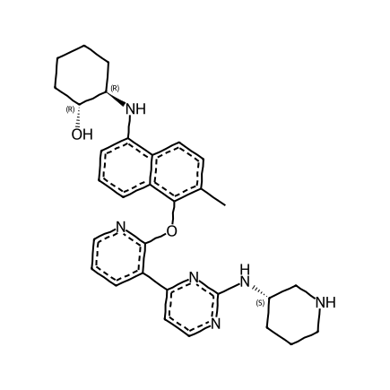 Cc1ccc2c(N[C@@H]3CCCC[C@H]3O)cccc2c1Oc1ncccc1-c1ccnc(N[C@H]2CCCNC2)n1